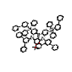 CC(C)(C)c1cc2c3c(c1)N(c1ccc(-c4ccccc4)cc1-c1ccccc1)c1cc([Si](c4ccccc4)(c4ccccc4)c4cccc(-c5ccccc5)c4)ccc1B3c1ccc([Si](c3ccccc3)(c3ccccc3)c3cccc(-c4ccccc4)c3)cc1N2c1cc(-c2ccccc2)cc(-c2ccccc2)c1